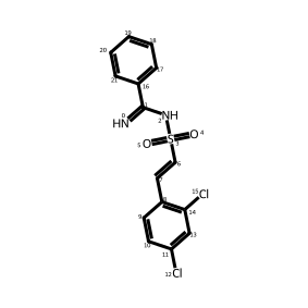 N=C(NS(=O)(=O)C=Cc1ccc(Cl)cc1Cl)c1ccccc1